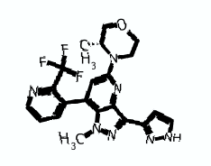 C[C@@H]1COCCN1c1cc(-c2cccnc2C(F)(F)F)c2c(n1)c(-c1cc[nH]n1)nn2C